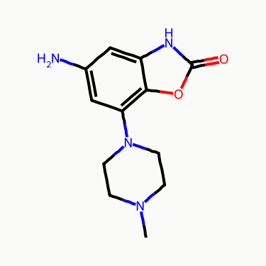 CN1CCN(c2cc(N)cc3[nH]c(=O)oc23)CC1